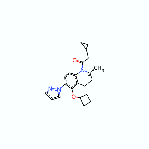 C[C@H]1CCc2c(ccc(-n3cccn3)c2OC2CCC2)N1C(=O)CC1CC1